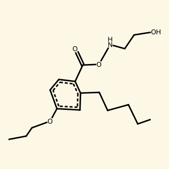 CCCCCc1cc(OCCC)ccc1C(=O)ONCCO